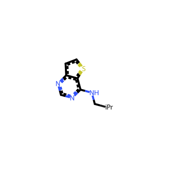 CC(C)CNc1ncnc2ccsc12